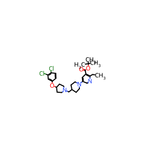 CCc1ncc(N2CCC(CN3CCC(Oc4ccc(Cl)c(Cl)c4)CC3)CC2)cc1C(=O)OC(C)(C)C